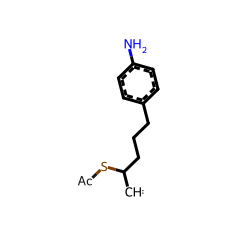 [CH]C(CCCc1ccc(N)cc1)SC(C)=O